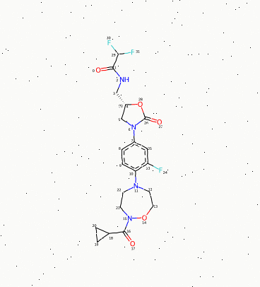 O=C(NC[C@H]1CN(c2ccc(N3CCON(C(=O)C4CC4)CC3)c(F)c2)C(=O)O1)C(F)F